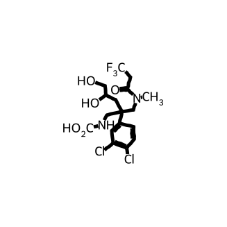 CN(CC(CNC(=O)O)(CC(O)CO)c1ccc(Cl)c(Cl)c1)C(=O)CC(F)(F)F